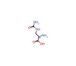 NC(=O)NC[C@@H](N)C(=O)O